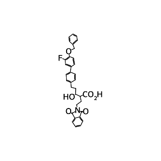 O=C(O)C(CCN1C(=O)c2ccccc2C1=O)C(O)CCc1ccc(-c2ccc(OCc3ccccc3)c(F)c2)cc1